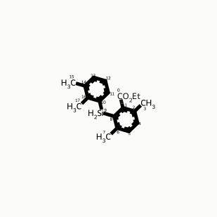 CCOC(=O)c1c(C)ccc(C)c1[SiH2]c1cccc(C)c1C